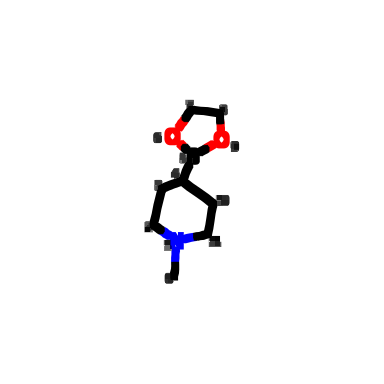 CN1CCC(B2OCCO2)CC1